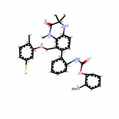 COc1ccccc1OC(=O)Nc1ccccc1-c1ccc2c(c1COc1cc(F)ccc1C)N(C)C(=O)C(C)(C)N2